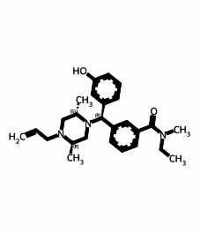 C=CCN1C[C@H](C)N([C@@H](c2cccc(O)c2)c2cccc(C(=O)N(C)CC)c2)C[C@H]1C